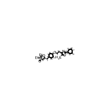 CCO[C@@H](Cc1ccc(OCCc2nc(-c3ccccc3)oc2C)cc1)CS(=O)(=O)CC